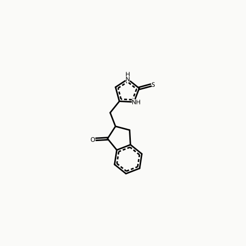 O=C1c2ccccc2CC1Cc1c[nH]c(=S)[nH]1